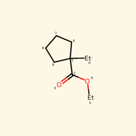 C[CH]C1(C(=O)OCC)CCCC1